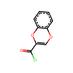 O=C(Cl)C1=COc2ccccc2O1